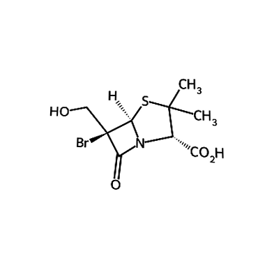 CC1(C)S[C@H]2N(C(=O)[C@]2(Br)CO)[C@H]1C(=O)O